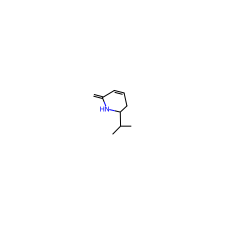 C=C1C=CCC(C(C)C)N1